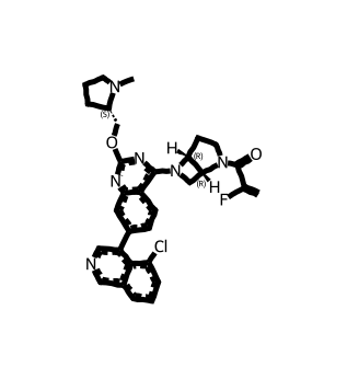 C=C(F)C(=O)N1CC[C@@H]2[C@H]1CN2c1nc(OC[C@@H]2CCCN2C)nc2cc(-c3cncc4cccc(Cl)c34)ccc12